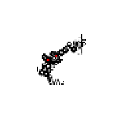 C#Cc1c(F)ccc2cc(OCOC)cc(-c3ncc4c(N5CC6CCC(C5)N6C(=O)OC(C)(C)C)nc(OCC5(CN6CC7CCC(C6)N7CC6CCC7(CC6)CCN(C(=O)c6ccc(Cl)c(N8CCC(=O)NC8=O)c6)CC7)CC5)nc4c3F)c12